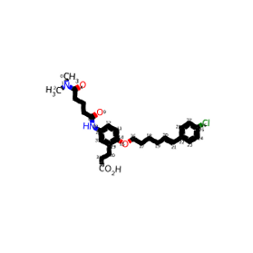 CN(C)C(=O)CCCC(=O)Nc1ccc(OCCCC/C=C/c2ccc(Cl)cc2)c(CCC(=O)O)c1